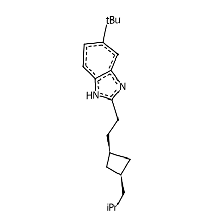 CC(C)C[C@H]1C[C@@H](CCc2nc3cc(C(C)(C)C)ccc3[nH]2)C1